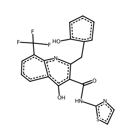 O=C(Nc1nccs1)c1c(Cc2ccccc2O)nc2c(C(F)(F)F)cccc2c1O